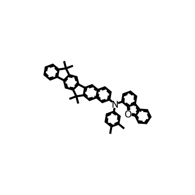 Cc1ccc(N(c2ccc3cc4c(cc3c2)C(C)(C)c2cc3c(cc2-4)C(C)(C)c2ccccc2-3)c2cccc3c2oc2ccccc23)cc1C